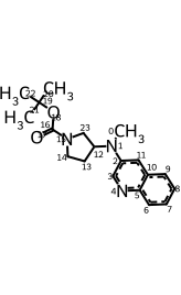 CN(c1cnc2ccccc2c1)C1CCN(C(=O)OC(C)(C)C)C1